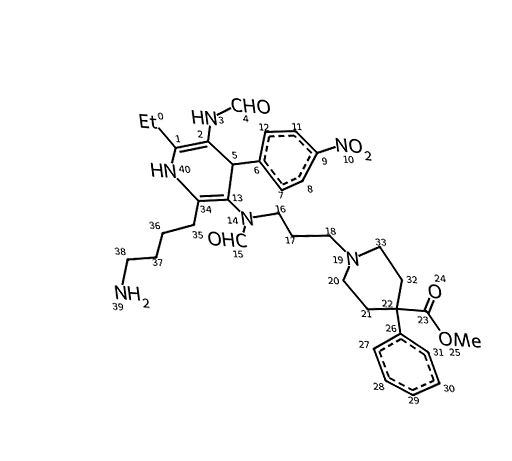 CCC1=C(NC=O)C(c2ccc([N+](=O)[O-])cc2)C(N(C=O)CCCN2CCC(C(=O)OC)(c3ccccc3)CC2)=C(CCCCN)N1